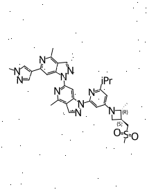 Cc1nc(-c2cnn(C)c2)cc2c1cnn2-c1cc2c(cnn2-c2cc(N3C[C@H](CS(C)(=O)=O)[C@H]3C)cc(C(C)C)n2)c(C)n1